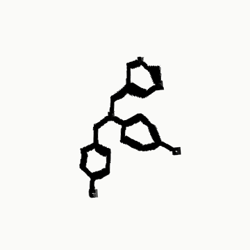 Clc1ccc(CN(Cc2cncnc2)c2ccc(Cl)cc2)cc1